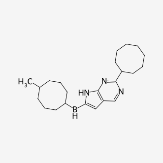 CC1CCCC(Bc2cc3cnc(C4CCCCCCC4)nc3[nH]2)CCC1